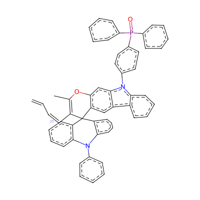 C=C/C=C\C1=C(C)Oc2cc3c(cc2C12c1ccccc1N(c1ccccc1)c1ccccc12)c1ccccc1n3-c1ccc(P(=O)(c2ccccc2)c2ccccc2)cc1